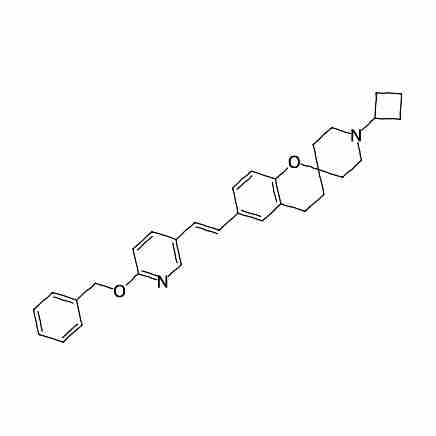 C(=C\c1ccc2c(c1)CCC1(CCN(C3CCC3)CC1)O2)/c1ccc(OCc2ccccc2)nc1